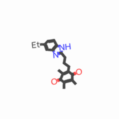 CCc1ccc2[nH]c(CCCC3=C(C)C(=O)C(C)=C(C)C3=O)nc2c1